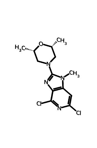 C[C@@H]1CN(c2nc3c(Cl)nc(Cl)cc3n2C)C[C@H](C)O1